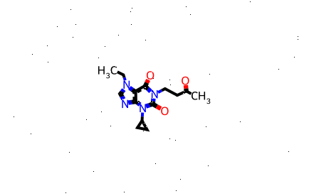 CCn1cnc2c1c(=O)n(CCC(C)=O)c(=O)n2C1CC1